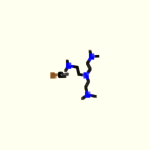 CN(C)CCN(CCN(C)C)CCN(C)C.[Br-].[Cu+]